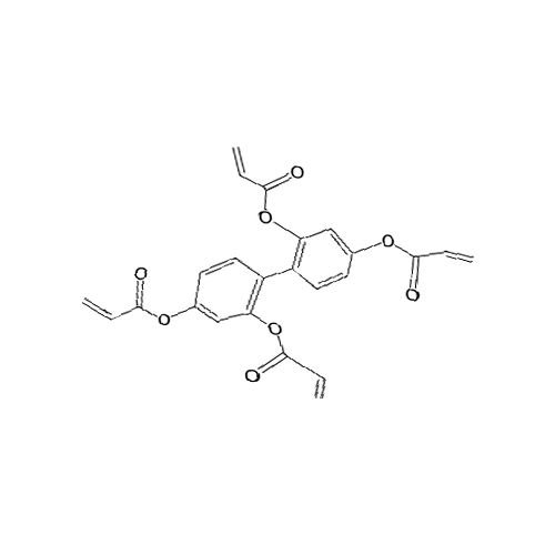 C=CC(=O)Oc1ccc(-c2ccc(OC(=O)C=C)cc2OC(=O)C=C)c(OC(=O)C=C)c1